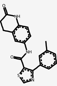 Cc1cccc(-c2ncsc2C(=O)Nc2ccc3c(c2)CCC(=O)N3)c1